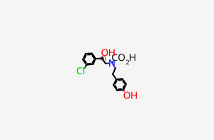 O=C(O)N(CCc1ccc(O)cc1)C[C@H](O)c1cccc(Cl)c1